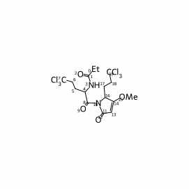 CCC(=O)NC(CCC(Cl)(Cl)Cl)C(=O)N1C(=O)C=C(OC)C1CCC(Cl)(Cl)Cl